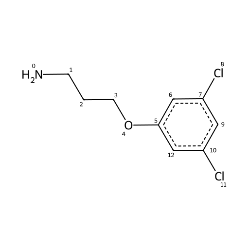 NCCCOc1cc(Cl)cc(Cl)c1